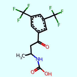 CC(CC(=O)c1cc(C(F)(F)F)cc(C(F)(F)F)c1)NC(=O)O